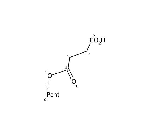 CCC[C@@H](C)OC(=O)CCC(=O)O